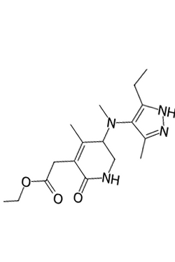 CCOC(=O)CC1=C(C)C(N(C)c2c(C)n[nH]c2CC)CNC1=O